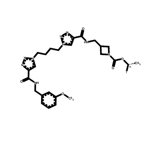 C[C@H](I)OC(=O)N1CC(CNC(=O)c2cn(CCCCn3cc(C(=O)NCc4cccc(OC(F)(F)F)c4)nn3)nn2)C1